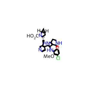 COc1c(Cl)cccc1Nc1c(-c2ccncc2C#C[C@H]2C[C@H]3C[C@H]3N2C(=O)O)[nH]c2c1C(=O)NCC2